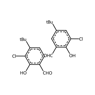 CC(C)(C)c1cc(Cl)c(O)c(C=O)c1.CC(C)(C)c1ccc(C=O)c(O)c1Cl